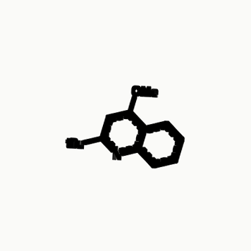 COc1cc(C(C)(C)C)nc2ccccc12